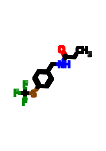 CCC(=O)NCc1ccc(SC(F)(F)F)cc1